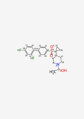 CC(O)N1CCC(C2(S(=O)(=O)c3ccc(-c4ccc(F)cc4F)cc3)CC2)CC1